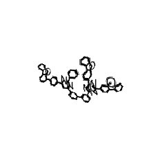 c1ccc(-c2nc(-c3ccc(-c4cccc5c4oc4ccccc45)cc3)cc(-c3cccc(-c4cccc(-c5nc(-c6ccc7c(c6)oc6ccccc67)nc(-c6ccc7c(c6)oc6ccccc67)n5)c4)c3)n2)cc1